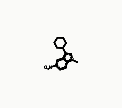 Cn1cc(C2CCCCC2)c2cc([N+](=O)[O-])ccc21